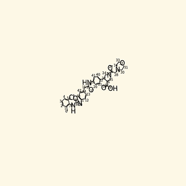 Cc1cccc(Cl)c1Nc1nc2ccc(CC(=O)Nc3ccc(C4CN(C(=O)CN5CCOCC5)CC4C(=O)O)cc3)cc2o1